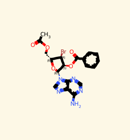 CC(=O)OC[C@H]1O[C@@H](n2cnc3c(N)ncnc32)[C@H](OC(=O)c2ccccc2)[C@@H]1Br